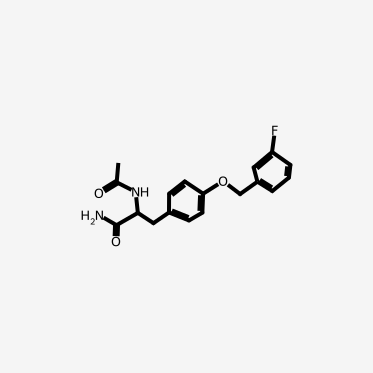 CC(=O)NC(Cc1ccc(OCc2cccc(F)c2)cc1)C(N)=O